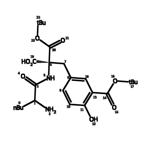 CCCCC(N)C(=O)N[C@@](Cc1ccc(O)c(C(=O)OC(C)(C)C)c1)(C(=O)O)C(=O)OC(C)(C)C